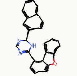 C1=NC(c2ccc3ccccc3c2)NC(c2cccc3oc4ccccc4c23)=N1